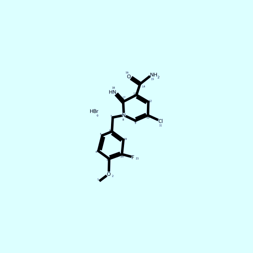 Br.COc1ccc(Cn2cc(Cl)cc(C(N)=O)c2=N)cc1F